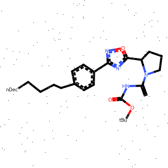 C=C(NC(=O)OC(C)(C)C)N1CCCC1c1nc(-c2ccc(CCCCCCCCCCCCCC)cc2)no1